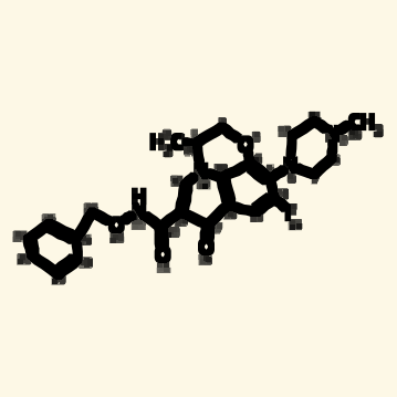 C[C@H]1COc2c(N3CCN(C)CC3)c(F)cc3c(=O)c(C(=O)NOCc4ccccc4)cn1c23